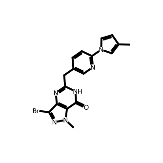 Cc1ccn(-c2ccc(Cc3nc4c(Br)nn(C)c4c(=O)[nH]3)cn2)c1